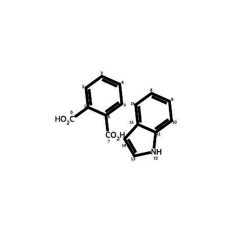 O=C(O)c1ccccc1C(=O)O.c1ccc2[nH]ccc2c1